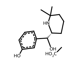 CC(=O)O.CC1(C)CCC[C@H](C(O)c2cccc(O)c2)N1